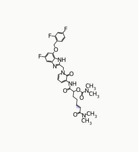 CN(C)C(=O)/C=C/CCC(OC(=O)N(C)C)C(=O)Nc1cccn(Cc2nc3cc(F)cc(OCc4ccc(F)cc4F)c3[nH]2)c1=O